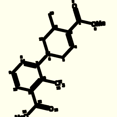 COC(=O)C1=CCN(c2nccc(C(=O)OC)c2C(F)(F)F)CC1C